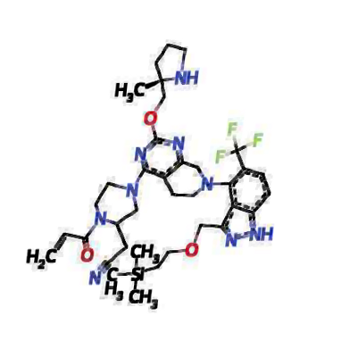 C=CC(=O)N1CCN(c2nc(OC[C@]3(C)CCCN3)nc3c2CCN(c2c(C(F)(F)F)ccc4[nH]nc(COCC[Si](C)(C)C)c24)C3)CC1CC#N